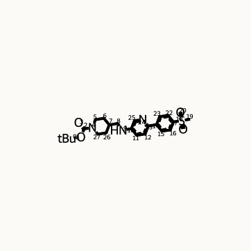 CC(C)(C)OC(=O)N1CCC(CNc2ccc(-c3ccc(S(C)(=O)=O)cc3)nc2)CC1